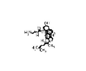 CC(C)CCC[C@@H](C)[C@H]1CC[C@H]2[C@@H]3CC=C4C[C@@H](O)CC(OC(=O)NCCN)[C@]4(C)[C@H]3CC[C@]12C